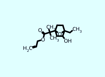 C=CCOC(=O)C(C)(C)C12CCC(CC)(O1)C(O)C2